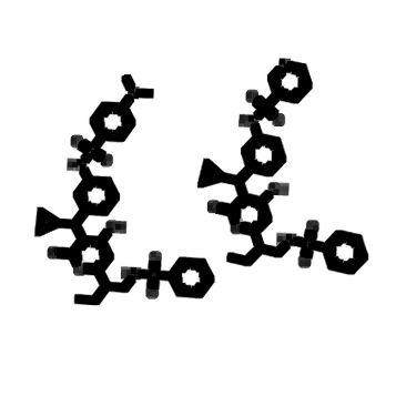 CCC(CNS(=O)(=O)c1ccccc1)c1cc(O)c(C(c2cccc(NS(=O)(=O)c3ccc(N(C)C)cc3)c2)C2CC2)c(=O)o1.CCC(CNS(=O)(=O)c1ccccc1)c1cc(O)c(C(c2cccc(NS(=O)(=O)c3cccnc3)c2)C2CC2)c(=O)o1